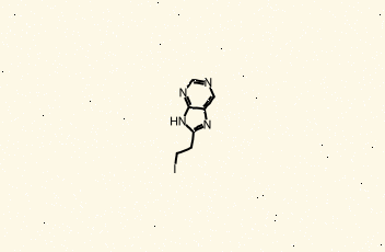 ICCc1nc2cncnc2[nH]1